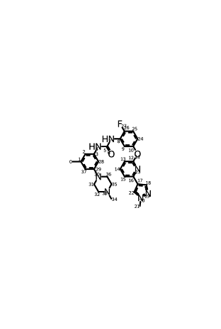 Cc1cc(NC(=O)Nc2cc(Oc3cccc(-c4cnn(C)c4)n3)ccc2F)cc(N2CCN(C)CC2)c1